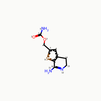 NC(=O)OCc1cc2c(s1)C(N)=NCC2